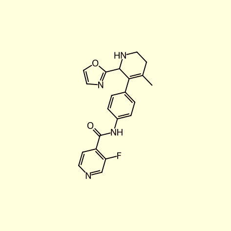 CC1=C(c2ccc(NC(=O)c3ccncc3F)cc2)C(c2ncco2)NCC1